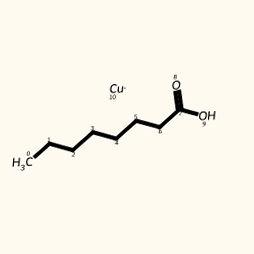 CCCCCCCC(=O)O.[Cu]